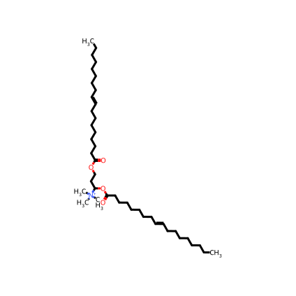 CCCCCCCCC=CCCCCCCCC(=O)OCCC(OC(=O)CCCCCCCC=CCCCCCCCC)[N+](C)(C)C